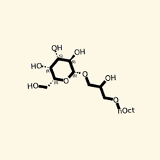 CCCCCCCCOCC(O)CO[C@@H]1O[C@H](CO)[C@H](O)[C@H](O)[C@H]1O